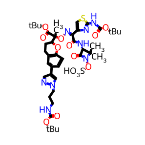 CC(C)(C)OC(=O)NCCCn1cc(-c2ccc3c(c2)CCC(C(C)(O/N=C(\C(=O)N[C@@H]2C(=O)N(OS(=O)(=O)O)C2(C)C)c2csc(NC(=O)OC(C)(C)C)n2)C(=O)OC(C)(C)C)O3)cn1